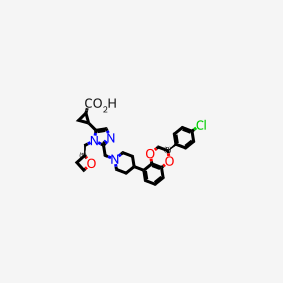 O=C(O)C1CC1c1cnc(CN2CCC(c3cccc4c3OC[C@@H](c3ccc(Cl)cc3)O4)CC2)n1C[C@@H]1CCO1